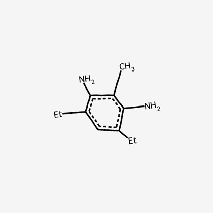 CCc1cc(CC)c(N)c(C)c1N